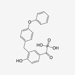 O=C(c1ccc(O)c(Cc2ccc(Oc3ccccc3)cc2)c1)P(=O)(O)O